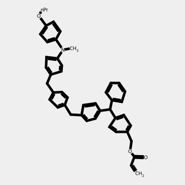 C=CC(=O)OCc1ccc(C(c2ccccc2)c2ccc(Cc3ccc(Cc4ccc(N(C)c5ccc(OCCC)cc5)cc4)cc3)cc2)cc1